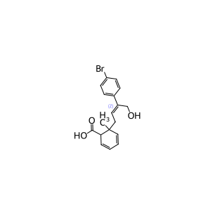 CC1(C/C=C(\CO)c2ccc(Br)cc2)C=CC=CC1C(=O)O